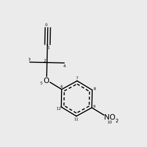 C#CC(C)(C)Oc1ccc([N+](=O)[O-])cc1